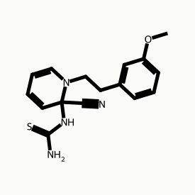 COc1cccc(CCN2C=CC=CC2(C#N)NC(N)=S)c1